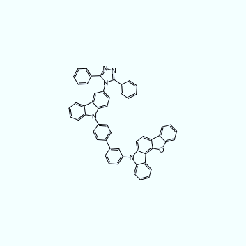 c1ccc(-c2nnc(-c3ccccc3)n2-c2ccc3c(c2)c2ccccc2n3-c2ccc(-c3cccc(-n4c5ccccc5c5c6oc7ccccc7c6ccc54)c3)cc2)cc1